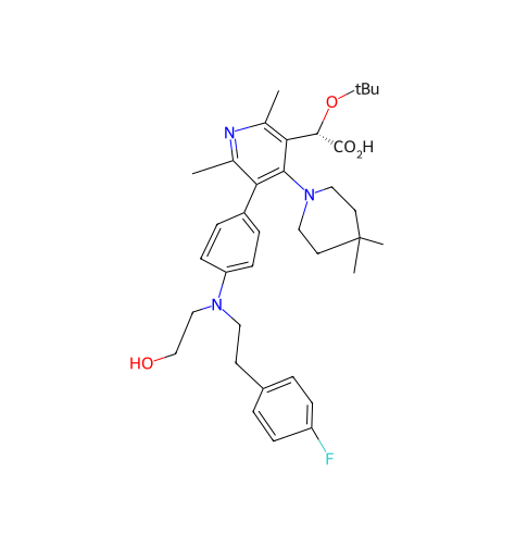 Cc1nc(C)c([C@H](OC(C)(C)C)C(=O)O)c(N2CCC(C)(C)CC2)c1-c1ccc(N(CCO)CCc2ccc(F)cc2)cc1